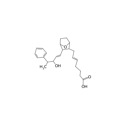 CC(c1ccccc1)C(O)C=CC1C2CCC(O2)C1CC=CCCCC(=O)O